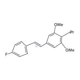 COc1cc(/C=C/c2ccc(F)cc2)cc(OC)c1C(C)C